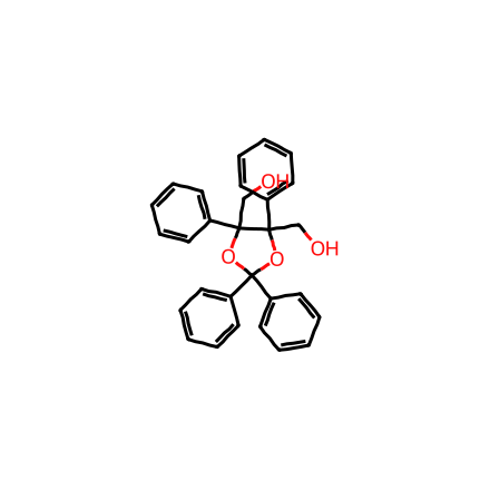 OCC1(c2ccccc2)OC(c2ccccc2)(c2ccccc2)OC1(CO)c1ccccc1